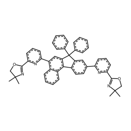 CC1(C)COC(c2cccc(-c3ccc4c(c3)C(c3ccccc3)(c3ccccc3)c3cc(-c5cccc(C6=NC(C)(C)CO6)n5)c5ccccc5c3-4)n2)=N1